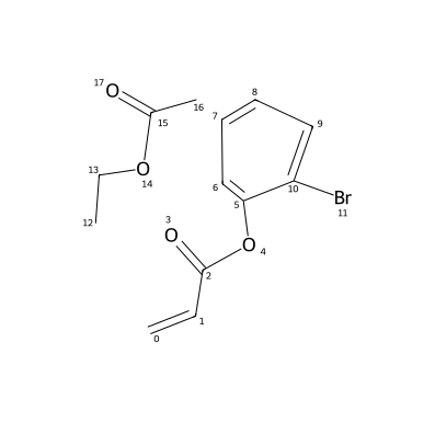 C=CC(=O)Oc1ccccc1Br.CCOC(C)=O